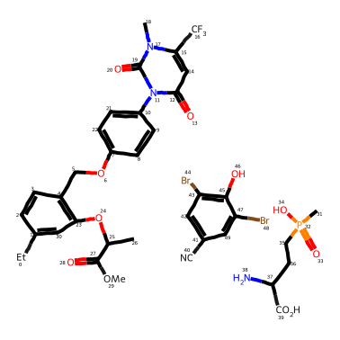 CCc1ccc(COc2ccc(-n3c(=O)cc(C(F)(F)F)n(C)c3=O)cc2)c(OC(C)C(=O)OC)c1.CP(=O)(O)CCC(N)C(=O)O.N#Cc1cc(Br)c(O)c(Br)c1